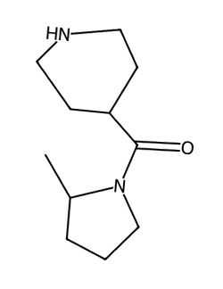 CC1CCCN1C(=O)C1CCNCC1